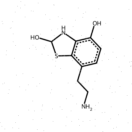 NCCc1ccc(O)c2c1SC(O)N2